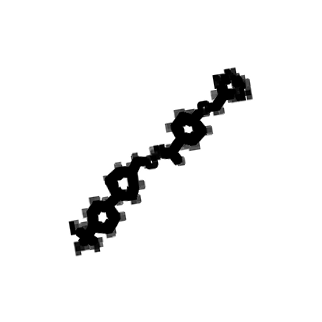 C/C(=N\OCc1ccc(-c2ccc(C(F)(F)F)cc2)cc1)c1ccc(OCc2nnn[nH]2)cc1